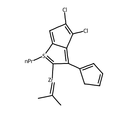 CCCS1=[C]([Zr]=[C](C)C)C(C2=CC=CC2)=C2C1=CC(Cl)=C2Cl